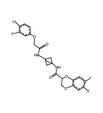 O=C(COc1ccc(Cl)c(F)c1)NC12CC(NC(=O)C3COc4cc(F)c(F)cc4O3)(C1)C2